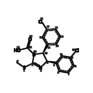 CSC1=N[C@H](c2cccc(Cl)c2)[C@H](c2cccc(Cl)c2)N1C(=O)O